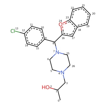 CC(O)CN1CCN(C(c2ccc(Cl)cc2)c2cc3ccccc3o2)CC1